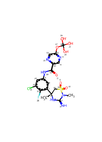 CN1C(=N)N[C@](C)(c2cc(NC(=O)c3cnc(OC(O)(O)O)cn3)cc(Cl)c2F)CS1(=O)=O